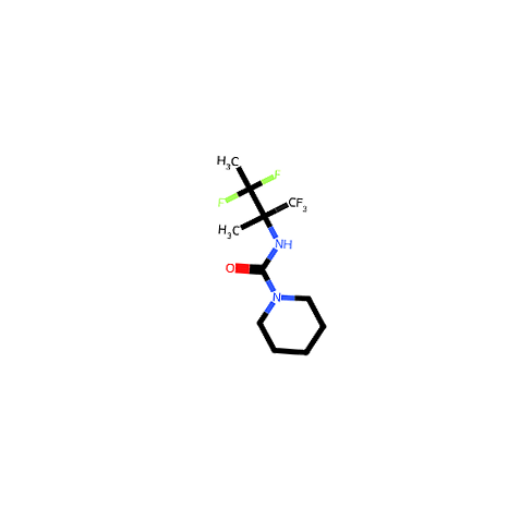 CC(F)(F)C(C)(NC(=O)N1CCCCC1)C(F)(F)F